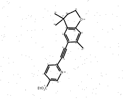 CCOC(=O)c1ccc(C#Cc2cc3c(cc2C)OCCC3(C)C)nc1